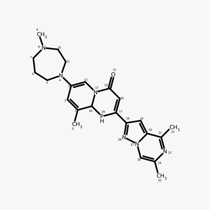 CC1=CC(N2CCCN(C)CC2)=CN2C(=O)C=C(c3cc4c(C)nc(C)cn4n3)PC12